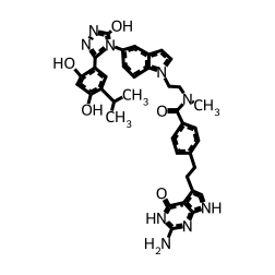 CC(C)c1cc(-c2nnc(O)n2-c2ccc3c(ccn3CCN(C)C(=O)c3ccc(CCc4c[nH]c5nc(N)[nH]c(=O)c45)cc3)c2)c(O)cc1O